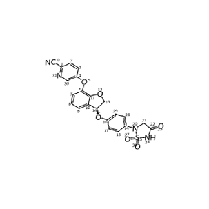 N#Cc1ccc(Oc2cccc3c2OC[C@H]3Oc2ccc(N3CC(=O)NS3(=O)=O)cc2)cn1